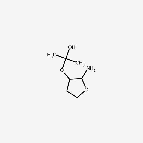 CC(C)(O)OC1CCOC1N